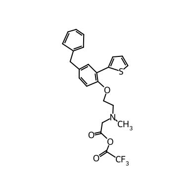 CN(CCOc1ccc(Cc2ccccc2)cc1-c1cccs1)CC(=O)OC(=O)C(F)(F)F